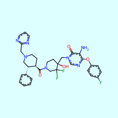 Nc1c(Oc2ccc(F)cc2)ncn(C[C@@]2(O)CCN(C(=O)[C@@H]3CCN(Cc4ncccn4)C[C@H]3c3ccccc3)CC2(F)F)c1=O